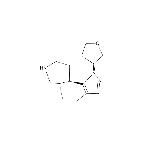 Cc1cnn([C@H]2CCOC2)c1[C@@H]1CCNC[C@H]1C